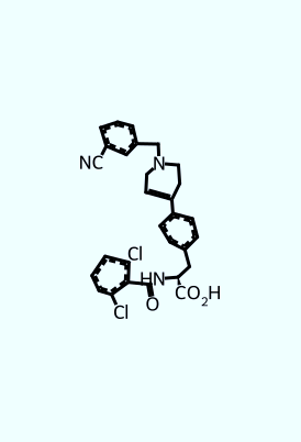 N#Cc1cccc(CN2CC=C(c3ccc(C[C@H](NC(=O)c4c(Cl)cccc4Cl)C(=O)O)cc3)CC2)c1